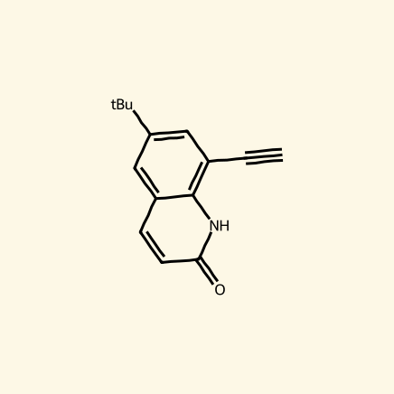 C#Cc1cc(C(C)(C)C)cc2ccc(=O)[nH]c12